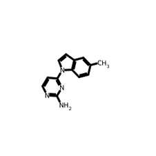 Cc1ccc2c(ccn2-c2ccnc(N)n2)c1